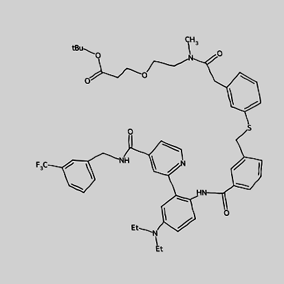 CCN(CC)c1ccc(NC(=O)c2cccc(CSc3cccc(CC(=O)N(C)CCOCCC(=O)OC(C)(C)C)c3)c2)c(-c2cc(C(=O)NCc3cccc(C(F)(F)F)c3)ccn2)c1